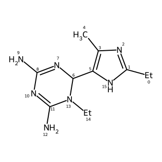 CCc1nc(C)c(C2N=C(N)N=C(N)N2CC)[nH]1